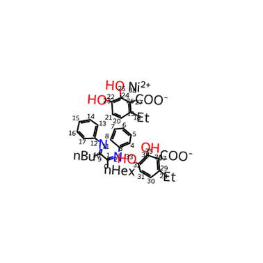 CCCCCCC(=Nc1ccccc1)C(CCCC)=Nc1ccccc1.CCc1ccc(O)c(O)c1C(=O)[O-].CCc1ccc(O)c(O)c1C(=O)[O-].[Ni+2]